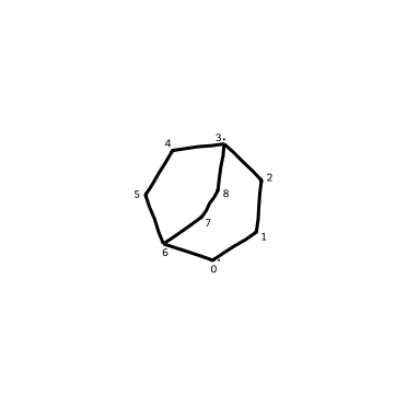 [CH]1CC[C]2CCC1CC2